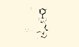 COCCN1C(=O)CCN1C(=O)C=Cn1cnc(-c2cc(C(F)(F)F)cc(C(F)(F)F)c2)n1